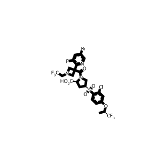 C[C@H](Oc1ccc(S(=O)(=O)[C@@H]2C[C@@H](C(=O)O)N(C(=O)C3(c4ncc(Br)cc4F)CN(CC(F)(F)F)C3)C2)c(Cl)c1)C(F)(F)F